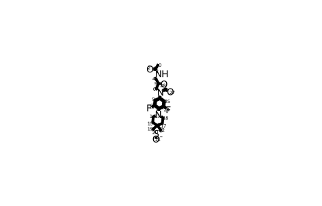 CC(=O)NCC1CN(c2cc(F)c(N3CCC4(CC3)C[S+]([O-])C4)c(F)c2)C(=O)O1